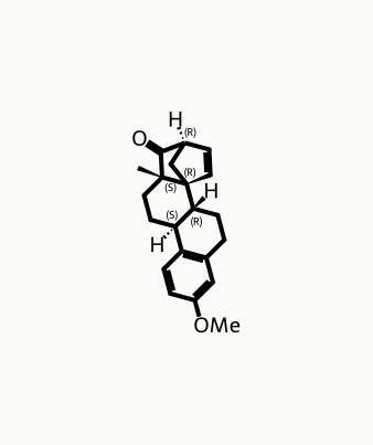 COc1ccc2c(c1)CC[C@@H]1[C@@H]2CC[C@]2(C)C(=O)[C@H]3C=C[C@@]12C3